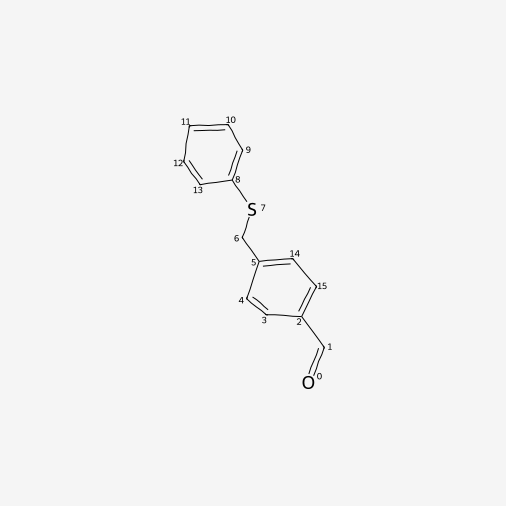 O=Cc1ccc(CSc2ccccc2)cc1